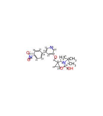 CC(C)(C)N(CC1(COc2cncc(-c3ccc([N+](=O)[O-])cc3)c2)CC1)C(=O)O